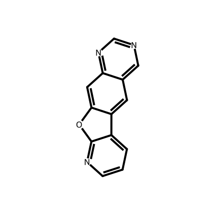 c1cnc2oc3cc4ncncc4cc3c2c1